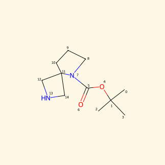 CC(C)(C)OC(=O)N1CCCC12CNC2